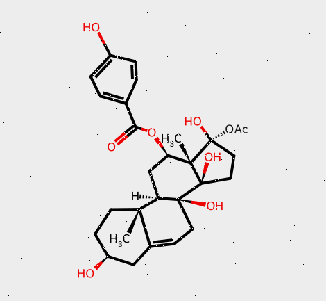 CC(=O)O[C@]1(O)CC[C@@]2(O)[C@]1(C)[C@H](OC(=O)c1ccc(O)cc1)C[C@@H]1[C@@]3(C)CC[C@H](O)CC3=CC[C@]12O